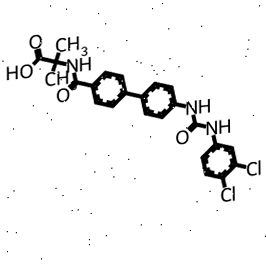 CC(C)(NC(=O)c1ccc(-c2ccc(NC(=O)Nc3ccc(Cl)c(Cl)c3)cc2)cc1)C(=O)O